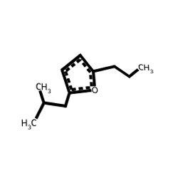 CCCc1ccc(CC(C)C)o1